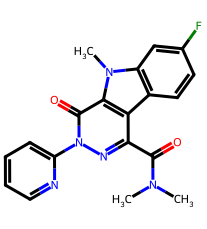 CN(C)C(=O)c1nn(-c2ccccn2)c(=O)c2c1c1ccc(F)cc1n2C